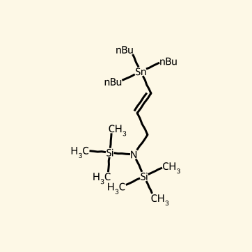 CCC[CH2][Sn](/[CH]=C/CN([Si](C)(C)C)[Si](C)(C)C)([CH2]CCC)[CH2]CCC